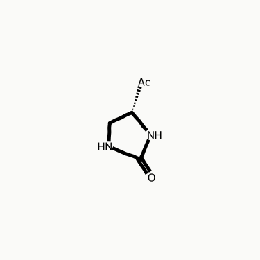 CC(=O)[C@H]1CNC(=O)N1